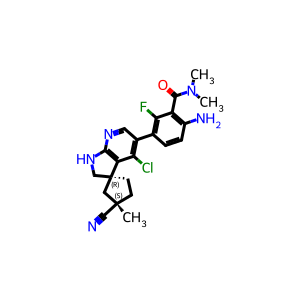 CN(C)C(=O)c1c(N)ccc(-c2cnc3c(c2Cl)[C@]2(CC[C@](C)(C#N)C2)CN3)c1F